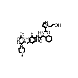 CCC(=O)N[C@H](Cc1ccc(NC(=O)[C@@H](NC(=O)c2ccnn2CCO)C2CCCCC2)c(F)c1)C(=O)N1CCN(C)CC1